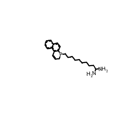 NC(N)CCCCCCCCCP1CC=Cc2c1ccc1ccccc21